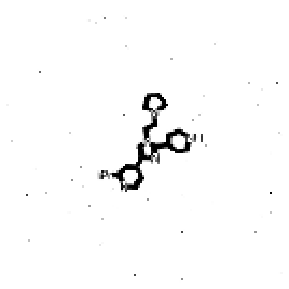 CC(C)c1cc(-c2cn(CCN3CCCC3)c(C3CCNCC3)n2)ccn1